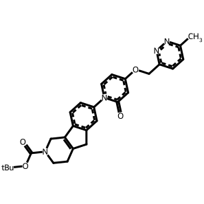 Cc1ccc(COc2ccn(-c3ccc4c(c3)CC3=C4CN(C(=O)OC(C)(C)C)CC3)c(=O)c2)nn1